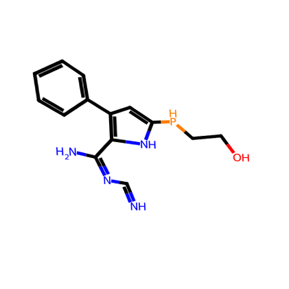 N=C/N=C(/N)c1[nH]c(PCCO)cc1-c1ccccc1